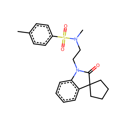 Cc1ccc(S(=O)(=O)N(C)CCN2C(=O)C3(CCCC3)c3ccccc32)cc1